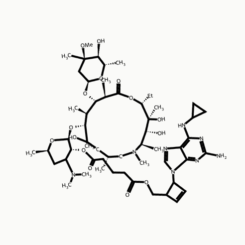 CC[C@H]1OC(=O)[C@H](C)[C@@H](O[C@H]2C[C@@](C)(OC)[C@@H](O)[C@H](C)O2)[C@H](C)[C@@H](O[C@@H]2O[C@H](C)CC(N(C)C)[C@H]2OC(=O)CCCC(=O)OCC2C=CC2n2cnc3c(NC4CC4)nc(N)nc32)[C@](C)(O)C[C@@H](C)CN(C)[C@H](C)[C@@H](O)[C@]1(C)O